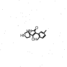 Cc1ccc(C)c(C2=C(O)C3(CCNCC3)NC2=O)c1